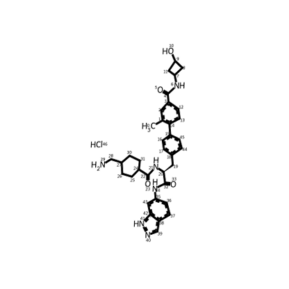 Cc1cc(C(=O)NC2CC(O)C2)ccc1-c1ccc(C[C@H](NC(=O)C2CCC(CN)CC2)C(=O)Nc2ccc3cn[nH]c3c2)cc1.Cl